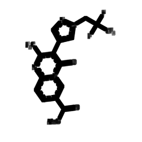 COC(=O)c1ccc2nc(C(F)(F)F)c(-c3cnn(CC(F)(F)C(F)(F)F)c3)c(=O)n2c1